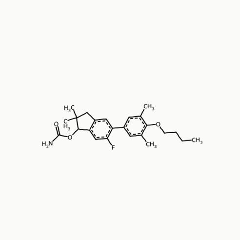 CCCCOc1c(C)cc(-c2cc3c(cc2F)C(OC(N)=O)C(C)(C)C3)cc1C